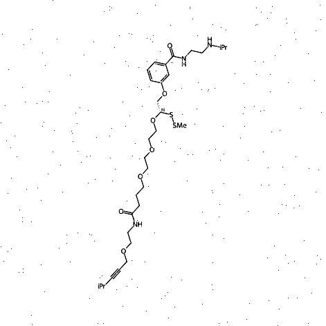 CSS[C@@H](COc1cccc(C(=O)NCCNC(C)C)c1)OCCOCCOCCCC(=O)NCCOCC#CC(C)C